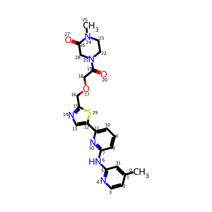 Cc1ccnc(Nc2cccc(-c3cnc(COCC(=O)N4CCN(C)C(=O)C4)s3)n2)c1